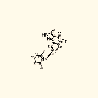 CCn1c(=O)c2c(C)[nH]nc2c2cc(C#CCN3[C@H](C)CCC[C@@H]3C)ccc21